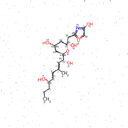 CCC[C@@H](O)/C=C/C(C)=C/[C@@H](O)[C@H]1C[C@@H](O)C[C@@](O)(Cc2nc(O)co2)O1